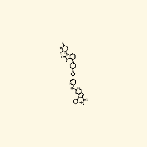 CN(C)C(=O)c1cc2cnc(Nc3ccc(C4CN(C5CCN(c6cccc7c6n(C)c(=O)n7[C@H]6CCC(=O)NC6=O)CC5)C4)cn3)nc2n1C1CCCC1